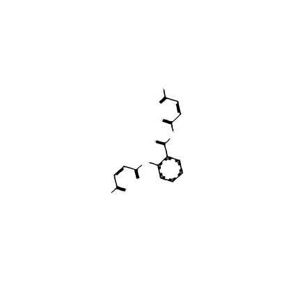 O=C(O)/C=C\C(=O)OC(=O)c1ccccc1OC(=O)/C=C\C(=O)O